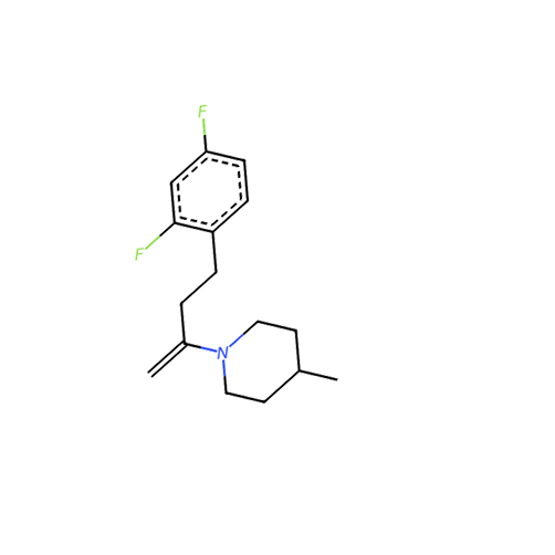 C=C(CCc1ccc(F)cc1F)N1CCC(C)CC1